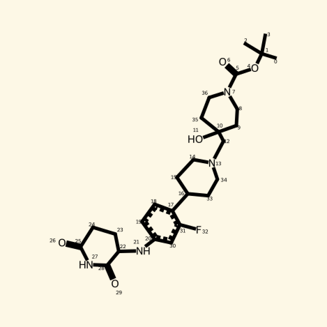 CC(C)(C)OC(=O)N1CCC(O)(CN2CCC(c3ccc(NC4CCC(=O)NC4=O)cc3F)CC2)CC1